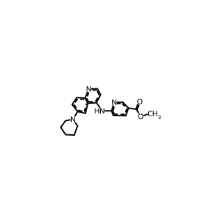 COC(=O)c1ccc(Nc2ccnc3ccc(N4CCCCC4)cc23)nc1